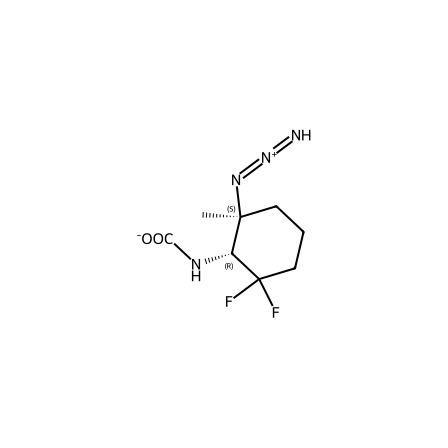 C[C@]1(N=[N+]=N)CCCC(F)(F)[C@@H]1NC(=O)[O-]